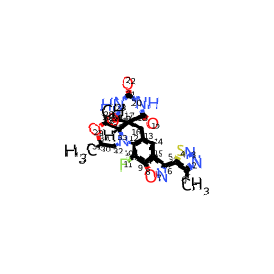 Cc1nnsc1-c1noc2c(F)c3c(cc12)CC1(C(=O)NC(=O)NC1=O)[C@H]1[C@H](C)O[C@H](C)CN31